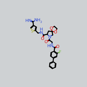 N=C(N)c1csc(CNC(=O)C2CC3(CN2C(=O)CNC(=O)c2ccc(-c4ccccc4)cc2F)OCCO3)c1